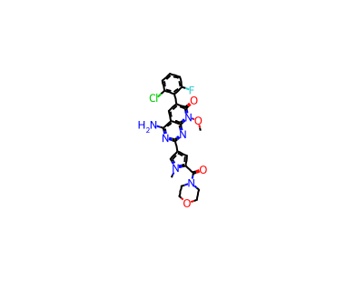 COn1c(=O)c(-c2c(F)cccc2Cl)cc2c(N)nc(-c3cc(C(=O)N4CCOCC4)n(C)c3)nc21